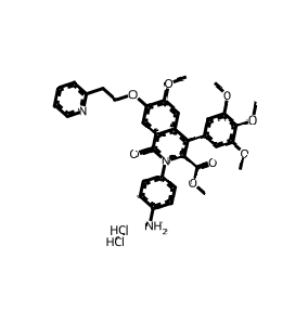 COC(=O)c1c(-c2cc(OC)c(OC)c(OC)c2)c2cc(OC)c(OCCc3ccccn3)cc2c(=O)n1-c1ccc(N)cc1.Cl.Cl